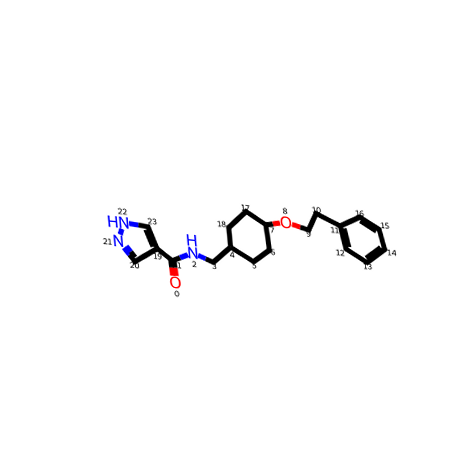 O=C(NCC1CCC(OCCc2ccccc2)CC1)c1cn[nH]c1